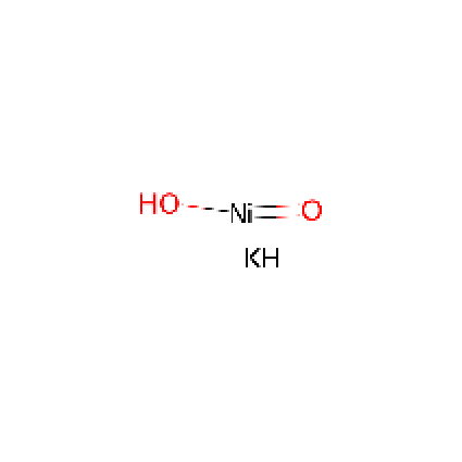 [KH].[O]=[Ni][OH]